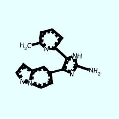 Cc1cccc(-c2[nH]c(N)nc2-c2ccn3nccc3c2)n1